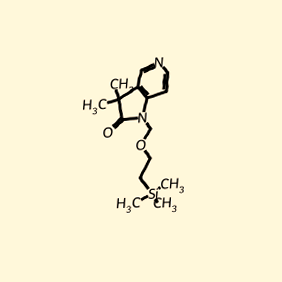 CC1(C)C(=O)N(COCC[Si](C)(C)C)c2ccncc21